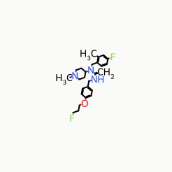 C=C(NCc1ccc(OCCCF)cc1)N(Cc1ccc(F)cc1C)C1CCN(C)CC1